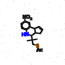 CC(=O)SCC(C)(C)C1Nc2ccc([N+](=O)[O-])cc2C2C=CCC21